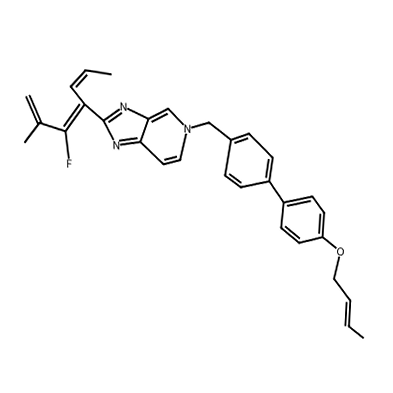 C=C(C)/C(F)=C(\C=C/C)c1nc2ccn(Cc3ccc(-c4ccc(OC/C=C/C)cc4)cc3)cc-2n1